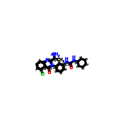 C[C@H](N)c1nc2cccc(Cl)c2c(=O)n1-c1cccc(NC(=O)NC2CCCCC2)c1